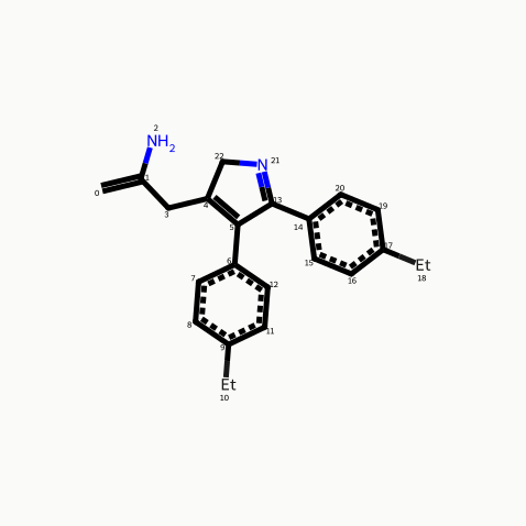 C=C(N)CC1=C(c2ccc(CC)cc2)C(c2ccc(CC)cc2)=NC1